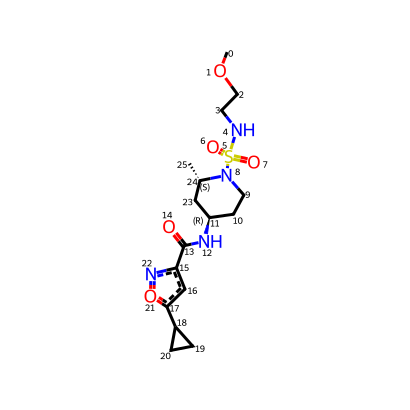 COCCNS(=O)(=O)N1CC[C@@H](NC(=O)c2cc(C3CC3)on2)C[C@@H]1C